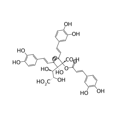 O=C(C=Cc1ccc(O)c(O)c1)O[C@@](C(=O)O)(C(=O)C=Cc1ccc(O)c(O)c1)[C@](O)(C(=O)C=Cc1ccc(O)c(O)c1)[C@H](O)[C@H](O)C(=O)O